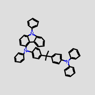 CC(C)(c1ccc(N(c2ccccc2)c2ccccc2)cc1)c1ccc(N(c2ccccc2)c2cccc3c2c2ccccc2n3-c2ccccc2)cc1